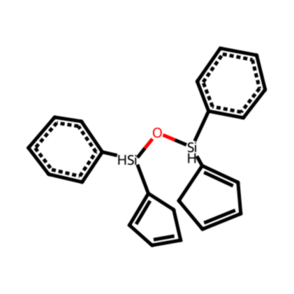 C1=CCC([SiH](O[SiH](C2=CC=CC2)c2ccccc2)c2ccccc2)=C1